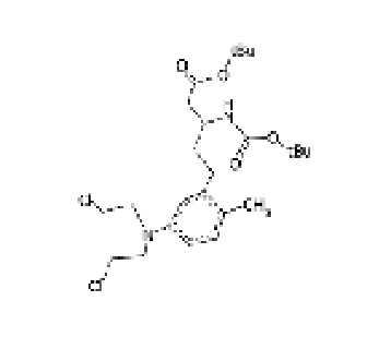 Cc1ccc(N(CCCl)CCCl)cc1CCC(CC(=O)OC(C)(C)C)NC(=O)OC(C)(C)C